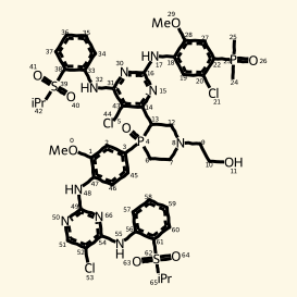 COc1cc(P2(=O)CCN(CCO)CC2c2nc(Nc3cc(Cl)c(P(C)(C)=O)cc3OC)nc(Nc3ccccc3S(=O)(=O)C(C)C)c2Cl)ccc1Nc1ncc(Cl)c(Nc2ccccc2S(=O)(=O)C(C)C)n1